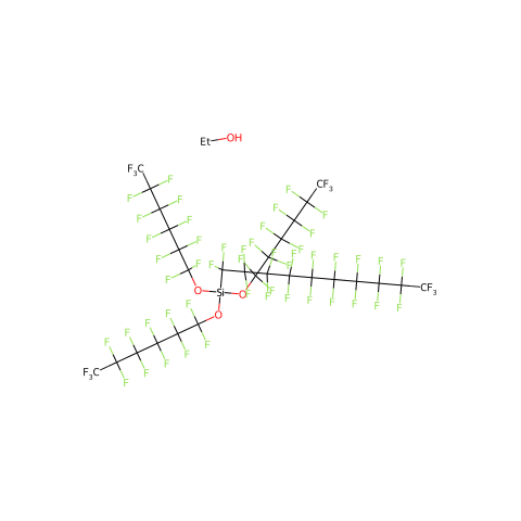 CCO.FC(F)(F)C(F)(F)C(F)(F)C(F)(F)C(F)(F)C(F)(F)O[Si](OC(F)(F)C(F)(F)C(F)(F)C(F)(F)C(F)(F)C(F)(F)F)(OC(F)(F)C(F)(F)C(F)(F)C(F)(F)C(F)(F)C(F)(F)F)C(F)(F)C(F)(F)C(F)(F)C(F)(F)C(F)(F)C(F)(F)C(F)(F)C(F)(F)C(F)(F)C(F)(F)F